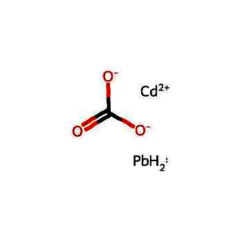 O=C([O-])[O-].[Cd+2].[PbH2]